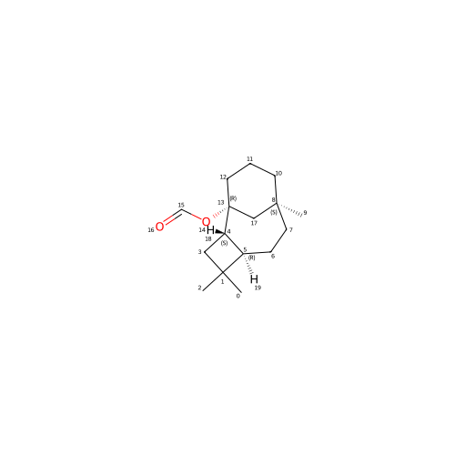 CC1(C)C[C@H]2[C@H]1CC[C@]1(C)CCC[C@@]2(OC=O)C1